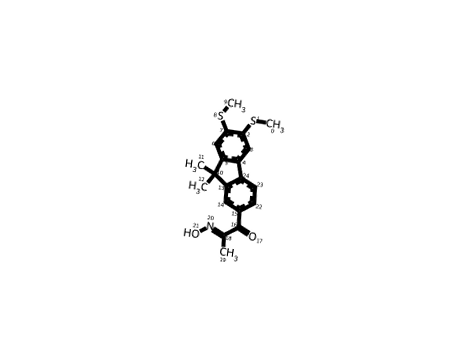 CSc1cc2c(cc1SC)C(C)(C)c1cc(C(=O)C(C)=NO)ccc1-2